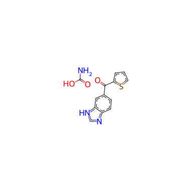 NC(=O)O.O=C(c1ccc2nc[nH]c2c1)c1cccs1